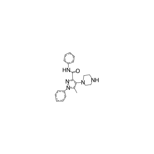 Cc1c(N2CCNCC2)c(C(=O)Nc2ccccc2)nn1-c1ccccc1